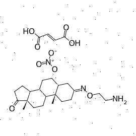 C[C@]12CCC(=NOCCN)CC1[C@@H](O[N+](=O)[O-])CC1C2CC[C@]2(C)C(=O)CCC12.O=C(O)/C=C/C(=O)O